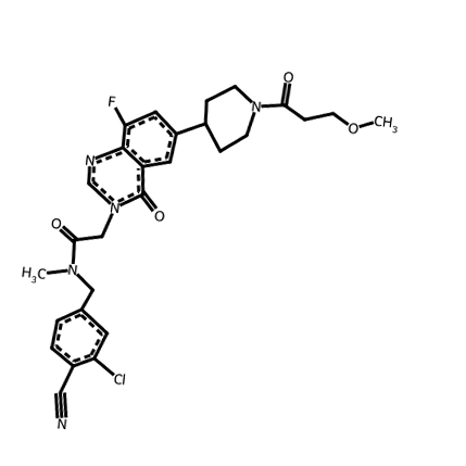 COCCC(=O)N1CCC(c2cc(F)c3ncn(CC(=O)N(C)Cc4ccc(C#N)c(Cl)c4)c(=O)c3c2)CC1